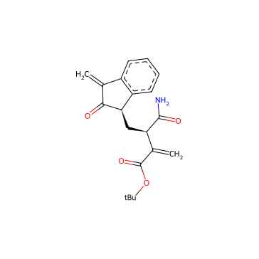 C=C1C(=O)[C@H](C[C@H](C(=C)C(=O)OC(C)(C)C)C(N)=O)c2ccccc21